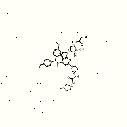 COc1ccc(C(Nc2nc(N3CC[C@@H](NC(=O)N[C@@H]4CCN(C)C4)C3)nc3c2ncn3[C@@H]2C[C@H](NC(=O)CO)[C@@H](O)[C@H]2O)c2ccc(OC)cc2)cc1